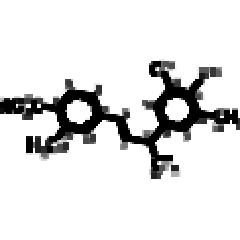 CCOC(=O)c1ccc(/C=C/C(c2cc(C)c(F)c(Cl)c2)C(F)(F)F)cc1C